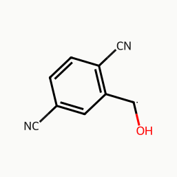 N#Cc1ccc(C#N)c([CH]O)c1